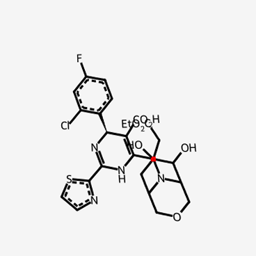 CCOC(=O)CC1(O)CC2COCC(C1O)N2CC1=C(C(=O)O)[C@H](c2ccc(F)cc2Cl)N=C(c2nccs2)N1